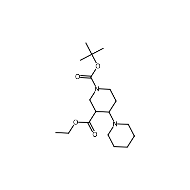 CCOC(=O)C1CN(C(=O)OC(C)(C)C)CCC1N1CCCCC1